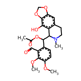 COc1ccc(C(OC(C)=O)C2c3c(cc4c(c3O)OCO4)CCN2C)c(C=O)c1OC